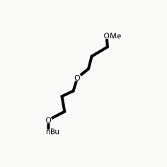 CCCCOCCCOCCCOC